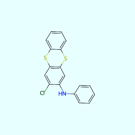 Clc1cc2c(cc1Nc1ccccc1)Sc1ccccc1S2